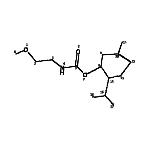 COCCNC(=O)OC1CC(C)CCC1C(C)C